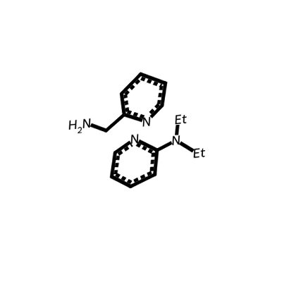 CCN(CC)c1ccccn1.NCc1ccccn1